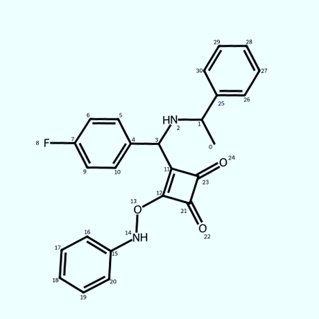 CC(NC(c1ccc(F)cc1)c1c(ONc2ccccc2)c(=O)c1=O)c1ccccc1